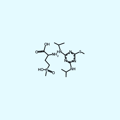 CP(=O)(O)CCC(N)C(=O)O.CSc1nc(NC(C)C)nc(NC(C)C)n1